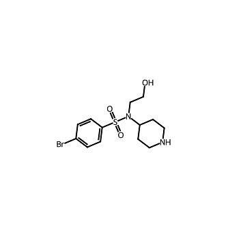 O=S(=O)(c1ccc(Br)cc1)N(CCO)C1CCNCC1